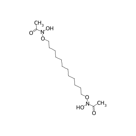 CC(=O)N(O)OCCCCCCCCCCCCON(O)C(C)=O